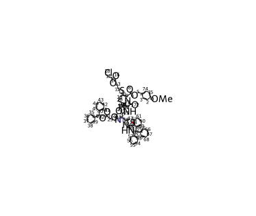 COc1ccc(COC(=O)C2=C(SCCOC(=O)CCl)CS[C@H]3[C@H](NC(=O)/C(=N\OCC(=O)OC(c4ccccc4)c4ccccc4)c4csc(NC(c5ccccc5)(c5ccccc5)c5ccccc5)n4)C(=O)N23)cc1